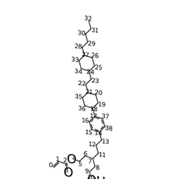 C=CC(=O)OCCC(CCO)CCCc1ccc(C2CCC(CCC3CCC(CCCCC)CC3)CC2)cc1